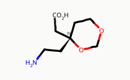 NCC[C@@]1(CC(=O)O)CCOCO1